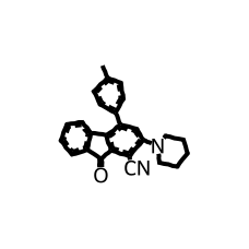 Cc1ccc(-c2cc(N3CCCCC3)c(C#N)c3c2-c2ccccc2C3=O)cc1